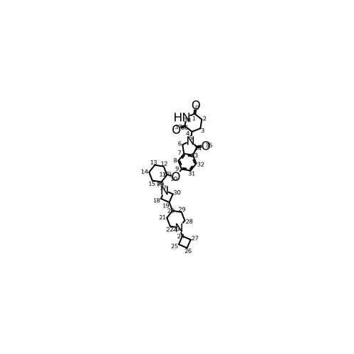 O=C1CCC(N2Cc3cc(O[C@@H]4CCCC[C@H]4N4CC(C5CCN(C6CCC6)CC5)C4)ccc3C2=O)C(=O)N1